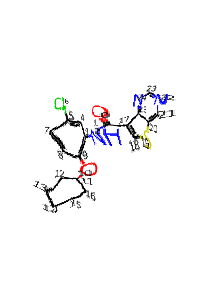 O=C(Nc1cc(Cl)ccc1OC1CCCCC1)c1csc2cncnc12